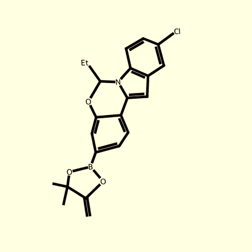 C=C1OB(c2ccc3c(c2)OC(CC)n2c-3cc3cc(Cl)ccc32)OC1(C)C